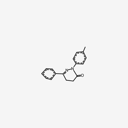 Cc1ccc(N2N=C(c3ccccc3)CCC2=O)cc1